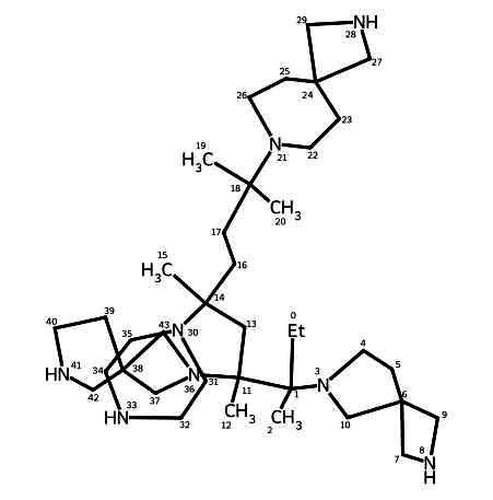 CCC(C)(N1CCC2(CNC2)C1)C(C)(CC(C)(CCC(C)(C)N1CCC2(CC1)CNC2)N1CCNCC1)N1CC2(CCNC2)C1